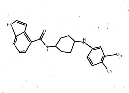 N#Cc1ccc(NC2CCC(NC(=O)c3ccnc4[nH]ccc34)CC2)cc1C(F)(F)F